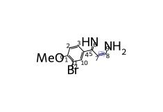 COc1ccc(C(=N)/C=C\N)cc1Br